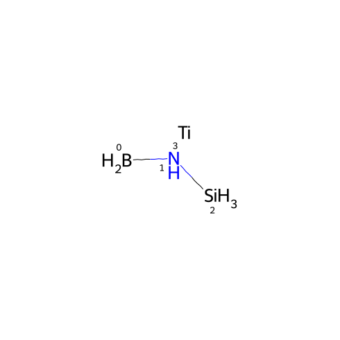 BN[SiH3].[Ti]